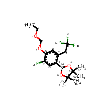 [CH2]COCOc1cc(CC(F)(F)F)c(B2OC(C)(C)C(C)(C)O2)cc1F